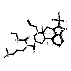 C=CCN1C[C@H](C(=O)N(CCCN(C)C)C(=O)NCC)C[C@@H]2c3cccc4[nH]c(C(F)(F)F)c(c34)C[C@H]21